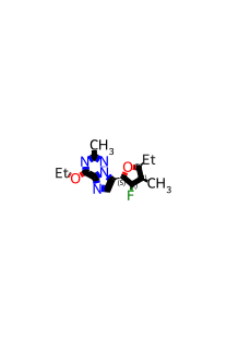 CCOc1nc(C)nn2c([C@@H]3O[C@H](CC)[C@@H](C)[C@H]3F)cnc12